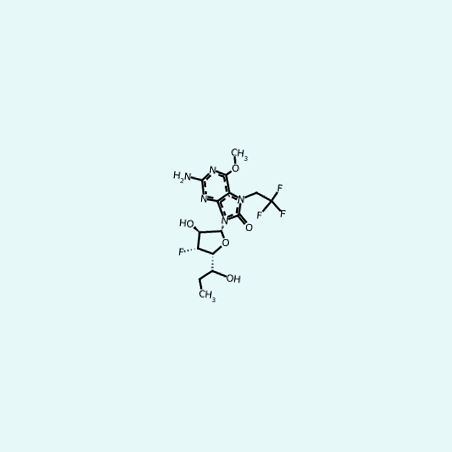 CCC(O)[C@H]1O[C@@H](n2c(=O)n(CC(F)(F)F)c3c(OC)nc(N)nc32)[C@H](O)[C@H]1F